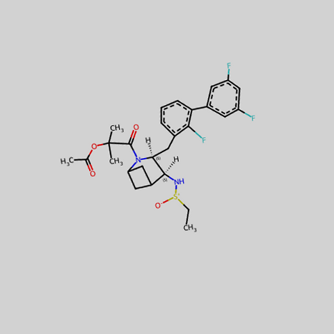 CC[S+]([O-])N[C@H]1C2CC(C2)N(C(=O)C(C)(C)OC(C)=O)[C@H]1Cc1cccc(-c2cc(F)cc(F)c2)c1F